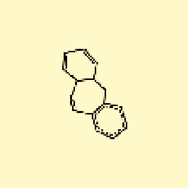 [C]1=CC=CC2Cc3ccccc3C=CC12